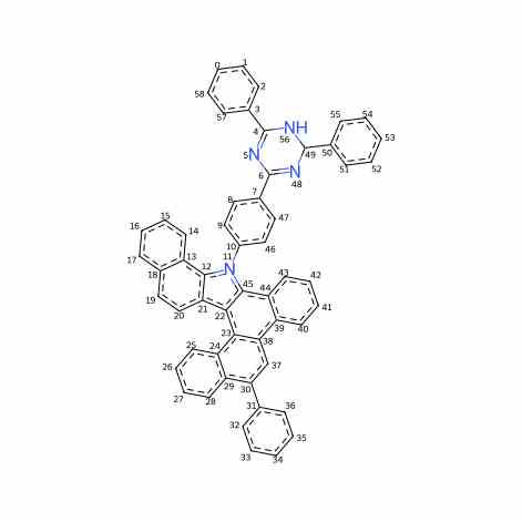 c1ccc(C2=NC(c3ccc(-n4c5c6ccccc6ccc5c5c6c7ccccc7c(-c7ccccc7)cc6c6ccccc6c54)cc3)=NC(c3ccccc3)N2)cc1